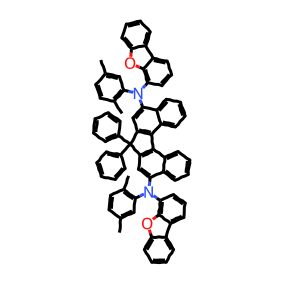 Cc1ccc(C)c(N(c2cc3c(c4ccccc24)-c2c(cc(N(c4cc(C)ccc4C)c4cccc5c4oc4ccccc45)c4ccccc24)C3(c2ccccc2)c2ccccc2)c2cccc3c2oc2ccccc23)c1